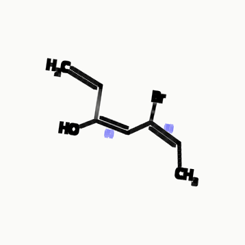 C=C/C(O)=C\C(Br)=C/C